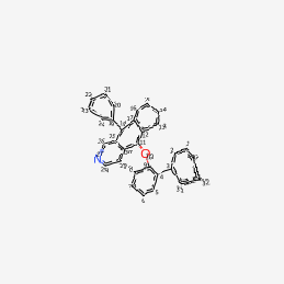 c1ccc(-c2ccccc2Oc2c3ccccc3c(-c3ccccc3)c3cnccc23)cc1